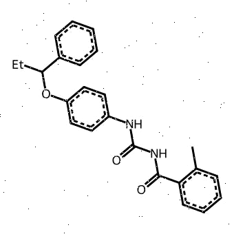 CCC(Oc1ccc(NC(=O)NC(=O)c2ccccc2C)cc1)c1ccccc1